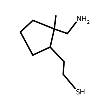 CC1(CN)CCCC1CCS